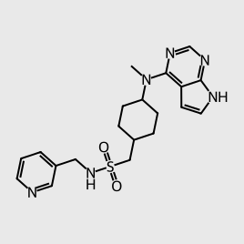 CN(c1ncnc2[nH]ccc12)C1CCC(CS(=O)(=O)NCc2cccnc2)CC1